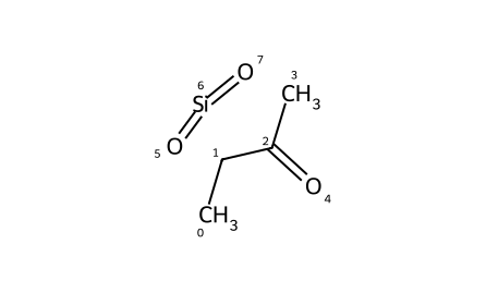 CCC(C)=O.O=[Si]=O